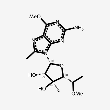 COc1nc(N)nc2c1nc(C)n2[C@@H]1O[C@H](C(C)OC)[C@@](C)(O)[C@@H]1O